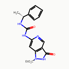 CCOC(=O)n1[nH]c(=O)c2cnc(NC(=O)N[C@H](C)c3ccccc3)cc21